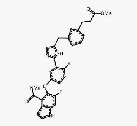 CNC(=O)c1c(Oc2ccc(F)c(-c3ncc(Cc4cccc(CCC(=O)OC)c4)[nH]3)c2)c(F)cc2[nH]ccc12